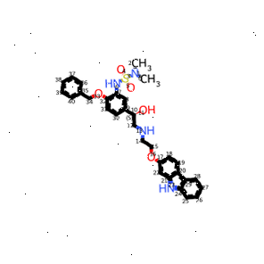 CN(C)S(=O)(=O)Nc1cc([C@H](O)CNCCOc2ccc3c(c2)[nH]c2ccccc23)ccc1OCc1ccccc1